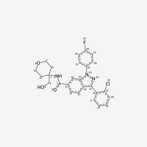 O=C(NC1(CO)CCOCC1)c1ccc2c(-c3ccccc3Cl)nn(-c3ccc(F)cc3)c2c1